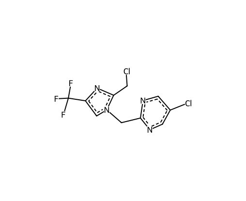 FC(F)(F)c1cn(Cc2ncc(Cl)cn2)c(CCl)n1